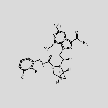 Cc1cc2c(C(N)=O)nn(CC(=O)N3[C@@H]4C[C@@H]4C[C@H]3C(=O)NCc3cccc(Cl)c3F)c2c(C)n1